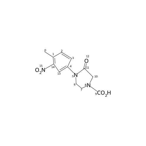 Cc1ccc(N2CCN(C(=O)O)CC2=O)cc1[N+](=O)[O-]